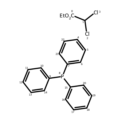 CCOC(=O)C(Cl)Cl.c1ccc(P(c2ccccc2)c2ccccc2)cc1